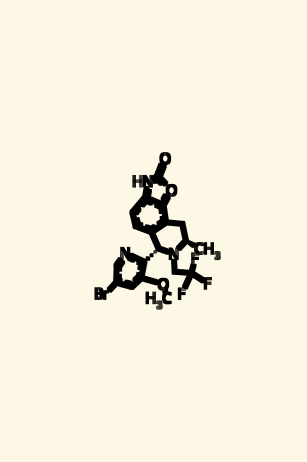 COc1cc(Br)cnc1[C@@H]1c2ccc3[nH]c(=O)oc3c2C[C@@H](C)N1CC(F)(F)F